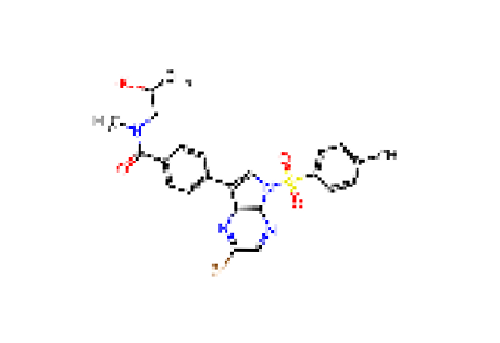 Cc1ccc(S(=O)(=O)n2cc(-c3ccc(C(=O)N(C)C[C@H](C)O)cc3)c3nc(Br)cnc32)cc1